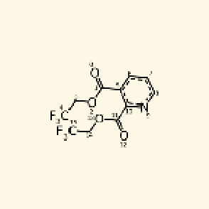 O=C(OCC(F)(F)F)c1cccnc1C(=O)OCC(F)(F)F